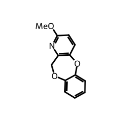 COc1ccc2c(n1)COc1ccccc1O2